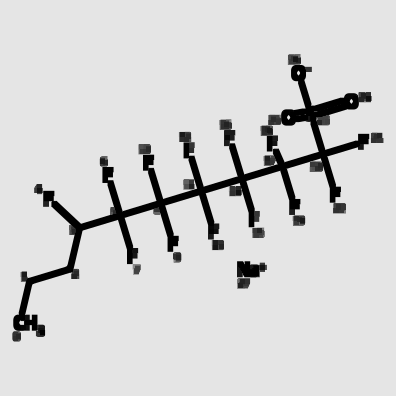 CCCC(F)C(F)(F)C(F)(F)C(F)(F)C(F)(F)C(F)(F)C(F)(F)S(=O)(=O)[O-].[Na+]